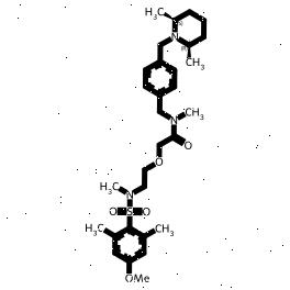 COc1cc(C)c(S(=O)(=O)N(C)CCOCC(=O)N(C)Cc2ccc(CN3[C@H](C)CCC[C@@H]3C)cc2)c(C)c1